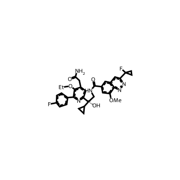 CCOc1c(CC(N)=O)cc([C@@](O)(CNC(=O)c2cc(OC)c3nnc(C4(F)CC4)cc3c2)C2CC2)nc1-c1ccc(F)cc1